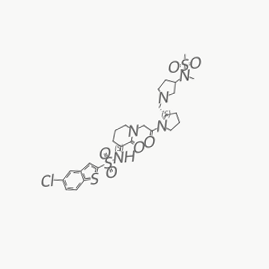 CN(C1CCN(C[C@@H]2CCCN2C(=O)CN2CCC[C@H](NS(=O)(=O)c3cc4cc(Cl)ccc4s3)C2=O)C1)S(C)(=O)=O